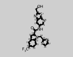 O=C(Nc1cnc2sc(CO)nc2c1)c1cc2cc(C(F)(F)F)ccc2n1Cc1nccs1